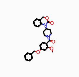 COc1cc(OCc2ccccc2)ccc1C(=O)N1CCC(N2C(=O)OCc3ccccc32)CC1